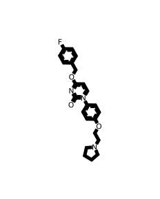 O=c1nc(OCc2ccc(F)cc2)ccn1-c1ccc(OCCN2CCCC2)cc1